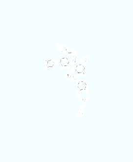 COCCN1CCc2ccc([AsH]c3ncc(Cl)c(Nc4c(CF)cc(-c5cnn(C)c5)cc4C(N)=O)n3)cc2CC1